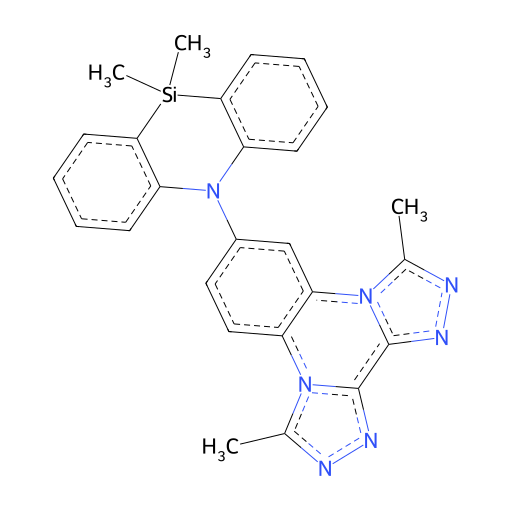 Cc1nnc2c3nnc(C)n3c3cc(N4c5ccccc5[Si](C)(C)c5ccccc54)ccc3n12